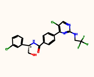 O=C(N[C@H](CO)c1cccc(Cl)c1)c1ccc(-c2nc(NCC(F)(F)F)ncc2Cl)cc1